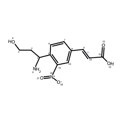 NC(CCO)c1ccc(/C=C/C(=O)O)cc1[N+](=O)[O-]